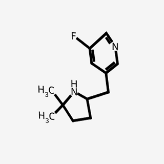 CC1(C)CCC(Cc2cncc(F)c2)N1